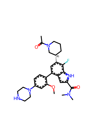 COc1cc(N2CCNCC2)ccc1-c1cc([C@H]2CCCN(C(C)=O)C2)c(F)c2[nH]c(C(=O)N(C)C)cc12